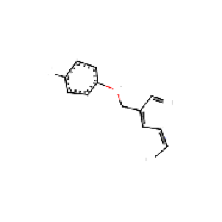 C=C/C(=C\C=C/C)COc1ccc(C#N)cc1